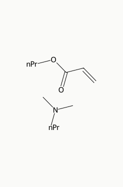 C=CC(=O)OCCC.CCCN(C)C